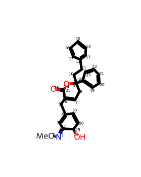 CON=C1C=C(CC2=CCC(CCc3ccccc3)(c3ccccc3)OC2=O)C=CC1O